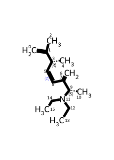 C=C(C)[C@H](C)/C=C\C(=C)[C@H](C)N(CC)CC